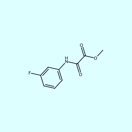 COC(=O)C(=O)Nc1cccc(F)c1